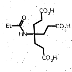 CCC(=O)NC(CCC(=O)O)(CCC(=O)O)CCC(=O)O